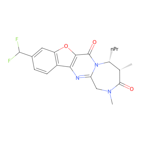 CCC[C@@H]1[C@H](C)C(=O)N(C)Cc2nc3c(oc4cc(C(F)F)ccc43)c(=O)n21